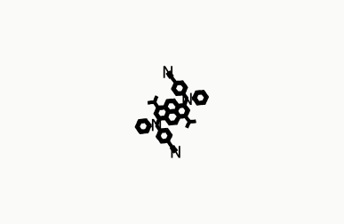 CC(C)c1cc(N(c2ccccc2)c2ccc(C#N)cc2)c2ccc3c(C(C)C)cc(N(c4ccccc4)c4ccc(C#N)cc4)c4ccc1c2c34